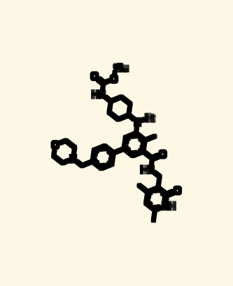 CCN(c1cc(-c2ccc(CN3CCOCC3)cc2)cc(C(=O)NCc2c(C)cc(C)[nH]c2=O)c1C)C1CCC(NC(=O)OC(C)(C)C)CC1